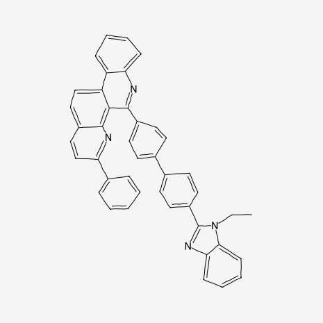 CCn1c(-c2ccc(-c3ccc(-c4nc5ccccc5c5ccc6ccc(-c7ccccc7)nc6c45)cc3)cc2)nc2ccccc21